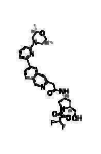 C[C@@H]1CN(c2cccc(-c3ccc4cnc(CC(=O)N[C@@H]5C[C@@H](CO)N(S(=O)(=O)C(F)F)C5)cc4c3)n2)C[C@H](C)O1